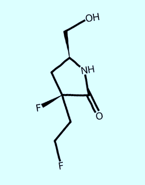 O=C1N[C@H](CO)C[C@@]1(F)CCF